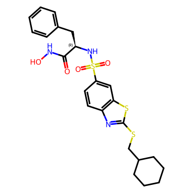 O=C(NO)[C@@H](Cc1ccccc1)NS(=O)(=O)c1ccc2nc(SCC3CCCCC3)sc2c1